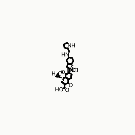 COc1c(-c2cc3c(s2)CCC(NCC2CCCN2)C3)ccc2c(=O)c(C(=O)O)cn(C3CC3)c12.Cl.Cl